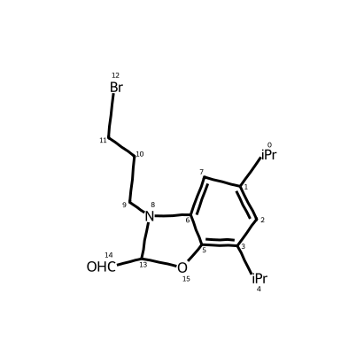 CC(C)c1cc(C(C)C)c2c(c1)N(CCCBr)C(C=O)O2